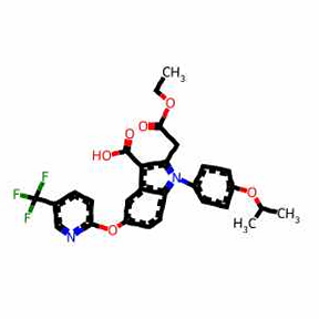 CCOC(=O)Cc1c(C(=O)O)c2cc(Oc3ccc(C(F)(F)F)cn3)ccc2n1-c1ccc(OC(C)C)cc1